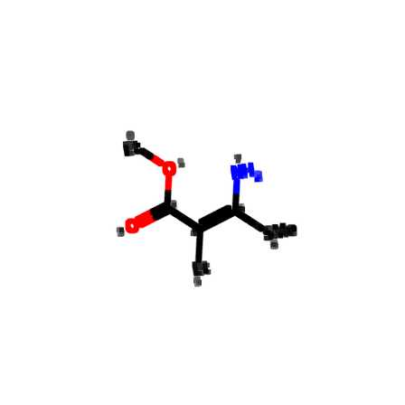 CCOC(=O)C(CC)=C(N)SC